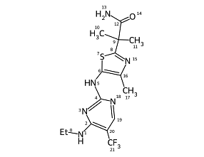 CCNc1nc(Nc2sc(C(C)(C)C(N)=O)nc2C)ncc1C(F)(F)F